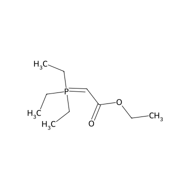 CCOC(=O)C=P(CC)(CC)CC